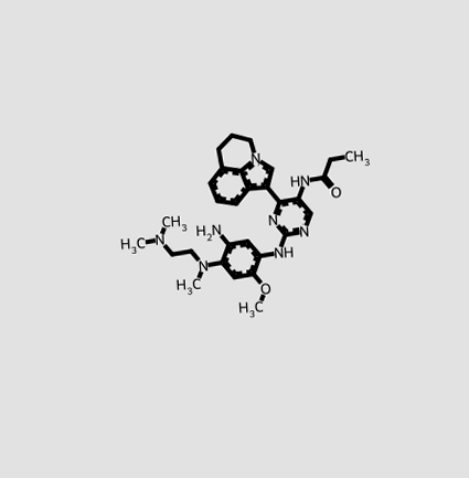 CCC(=O)Nc1cnc(Nc2cc(N)c(N(C)CCN(C)C)cc2OC)nc1-c1cn2c3c(cccc13)CCC2